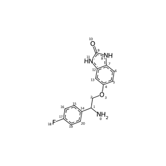 NC(COc1ccc2[nH]c(=O)[nH]c2c1)c1ccc(F)cc1